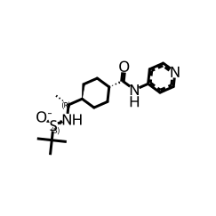 C[C@@H](N[S@+]([O-])C(C)(C)C)[C@H]1CC[C@H](C(=O)Nc2ccncc2)CC1